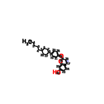 CCCCCC1CCC(c2ccc(OC(=O)/C=C\c3ccc(O)cc3)cc2)CC1